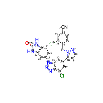 N#Cc1ccc(Cn2nccc2-c2cc(Cl)c3nnn(-c4ccc5[nH]c(=O)[nH]c5c4)c3c2)c(Cl)c1